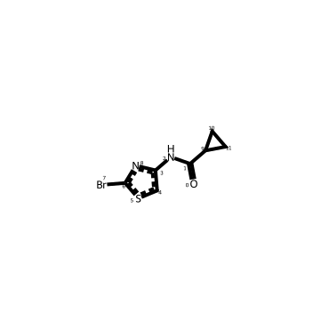 O=C(Nc1csc(Br)n1)C1CC1